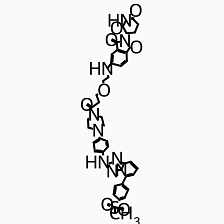 CS(=O)(=O)c1ccc(-c2cccc3nc(Nc4ccc(N5CCN(C(=O)CCOCCNc6ccc7c(c6)C(=O)N(C6CCC(=O)NC6=O)C7=O)CC5)cc4)nn23)cc1